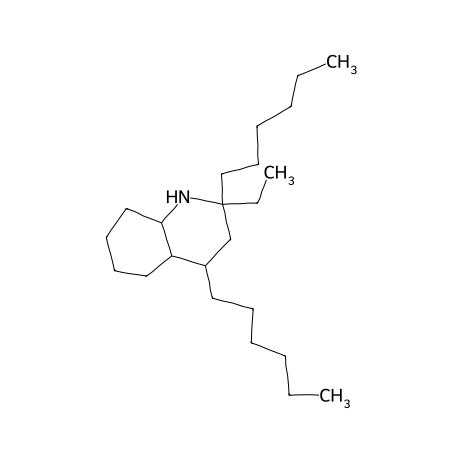 CCCCCCC1CC(CC)(CCCCCC)NC2CCCCC12